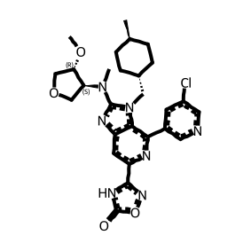 CO[C@H]1COC[C@@H]1N(C)c1nc2cc(-c3noc(=O)[nH]3)nc(-c3cncc(Cl)c3)c2n1C[C@H]1CC[C@H](C)CC1